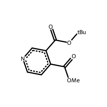 COC(=O)c1ccncc1C(=O)OC(C)(C)C